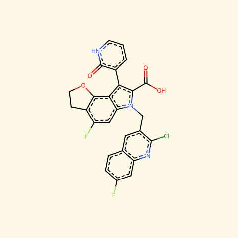 O=C(O)c1c(-c2ccc[nH]c2=O)c2c3c(c(F)cc2n1Cc1cc2ccc(F)cc2nc1Cl)CCO3